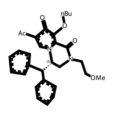 CCCCOc1c2n(cc(C(C)=O)c1=O)[C@@H](C(c1ccccc1)c1ccccc1)CN(CCOC)C2=O